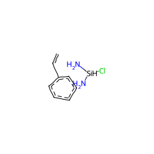 C=Cc1ccccc1.N[SiH](N)Cl